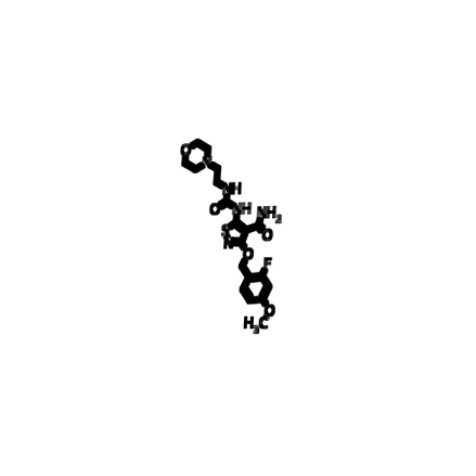 COc1ccc(COc2nsc(NC(=O)NCCN3CCOCC3)c2C(N)=O)c(F)c1